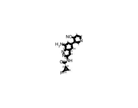 N#Cc1ccncc1-c1cc(N)c2nnc(NC(=O)[C@@H]3CC3F)cc2c1